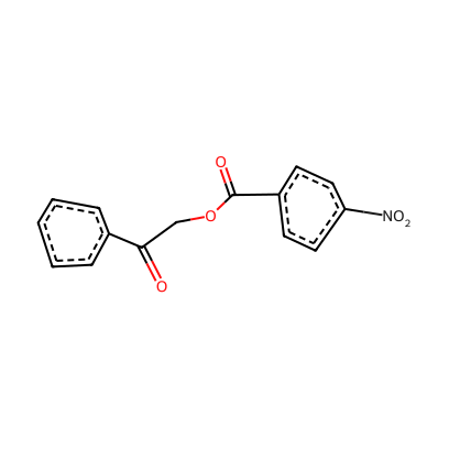 O=C(COC(=O)c1ccc([N+](=O)[O-])cc1)c1ccccc1